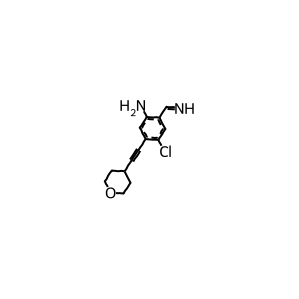 N=Cc1cc(Cl)c(C#CC2CCOCC2)cc1N